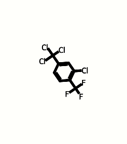 FC(F)(F)c1ccc(C(Cl)(Cl)Cl)cc1Cl